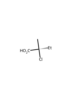 CC[C@](C)(Cl)C(=O)O